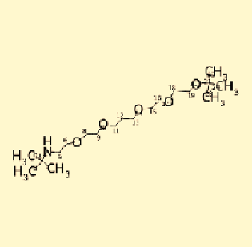 CC(C)(C)NCCOCCOCCCOCCOCCOC(C)(C)C